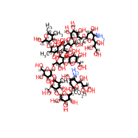 CC1C(O)[C@H](O[C@@H]2OC(CO[C@H]3OC(CO)[C@@H](O)C(O)[C@H]3O[C@@H]3O[C@@H](CO)[C@@H](O[C@@H]4OC(CO[C@]5(C(=O)O)C[C@@H](O)[C@@H](N)C([C@H](O)[C@H](O)CO)O5)[C@H](O)C(O)[C@@H]4O)C(O)C3C)[C@@H](O)C(O[C@H]3O[C@H](CO)[C@@H](O)C(O)C3O[C@@H]3OC(CO)[C@@H](O[C@@H]4OC(CO[C@]5(C(=O)O)C[C@@H](O)[C@@H](N)C([C@H](O)[C@H](O)CO)O5)[C@H](O)C(O)[C@@H]4O)C(O)[C@@H]3C)[C@H]2O)C(CO)O[C@H]1O[C@@H]1C(CO)O[C@@H](C)C(C)C1O